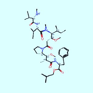 CC[C@H](C)[C@@H]([C@@H](CC(=O)N1CCC[C@H]1[C@H](OC)[C@@H](C)C(=O)N[C@@H](Cc1ccccc1)C(=O)OCC(C)C)OC)N(C)C(=O)[C@@H](NC(=O)[C@@H](NC)C(C)C)C(C)C